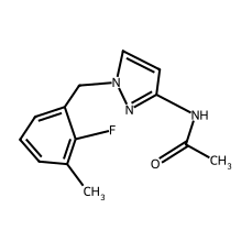 CC(=O)Nc1ccn(Cc2cccc(C)c2F)n1